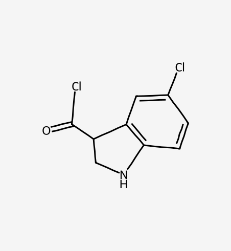 O=C(Cl)C1CNc2ccc(Cl)cc21